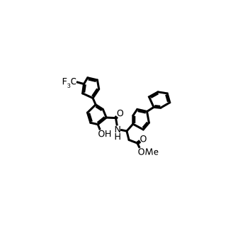 COC(=O)CC(NC(=O)c1cc(-c2cccc(C(F)(F)F)c2)ccc1O)c1ccc(-c2ccccc2)cc1